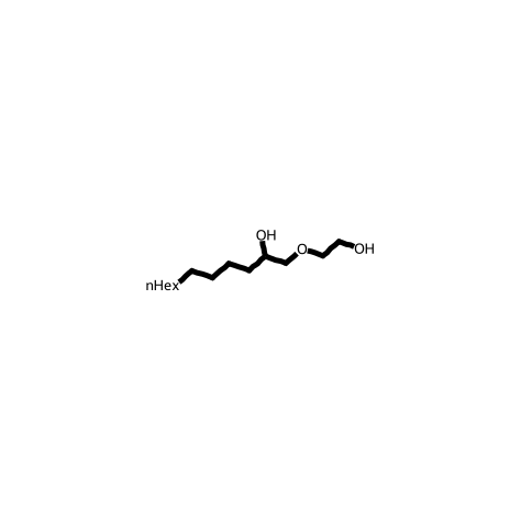 CCCCCCCCCCC(O)COCCO